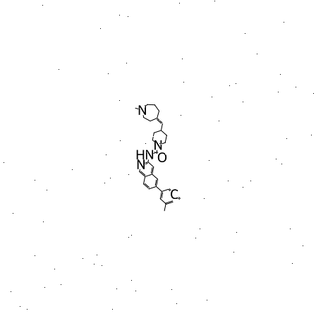 C=C=C/C(=C\C(=C)C)c1ccc2cnc(NC(=O)N3CCC(/C=C4/CCCN(C)CC4)CC3)cc2c1